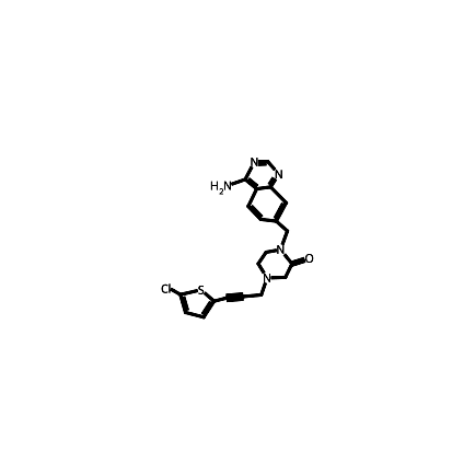 Nc1ncnc2cc(CN3CCN(CC#Cc4ccc(Cl)s4)CC3=O)ccc12